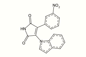 O=C1NC(=O)C(n2ccc3ccccc32)=C1c1cccc([N+](=O)[O-])c1